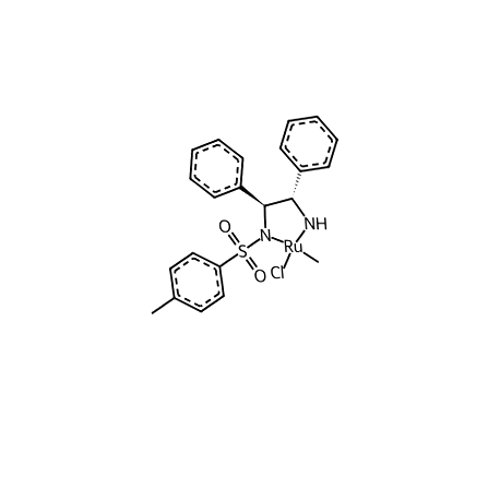 Cc1ccc(S(=O)(=O)[N]2[C@@H](c3ccccc3)[C@H](c3ccccc3)[NH][Ru]2([CH3])[Cl])cc1